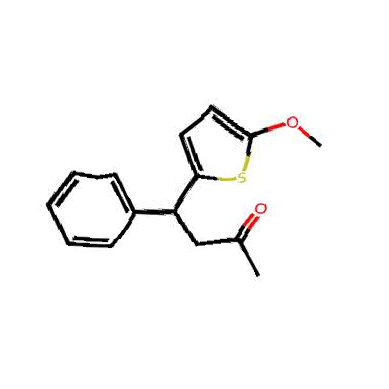 COc1ccc(C(CC(C)=O)c2ccccc2)s1